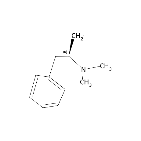 [CH2][C@H](Cc1ccccc1)N(C)C